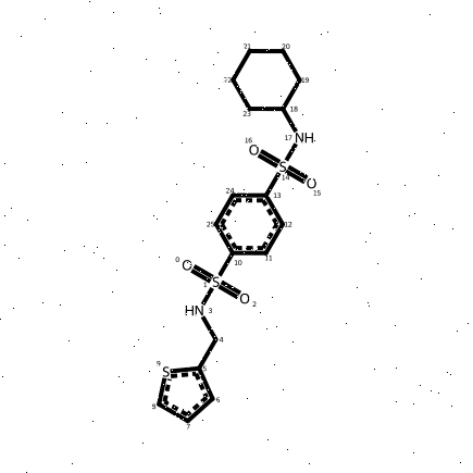 O=S(=O)(NCc1cccs1)c1ccc(S(=O)(=O)NC2CCCCC2)cc1